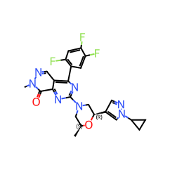 C[C@H]1CN(c2nc(-c3cc(F)c(F)cc3F)c3cnn(C)c(=O)c3n2)C[C@@H](c2cnn(C3CC3)c2)O1